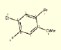 CCc1cc(C(C)C)c(OC)cc1F